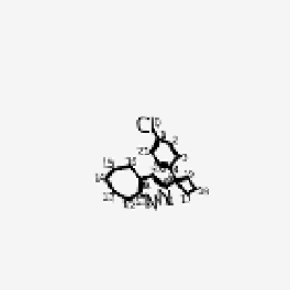 Clc1ccc(C2(c3cc4c(nn3)CCCCC4)CCC2)cc1